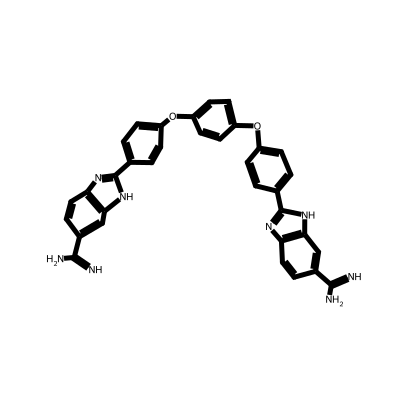 N=C(N)c1ccc2nc(-c3ccc(Oc4ccc(Oc5ccc(-c6nc7ccc(C(=N)N)cc7[nH]6)cc5)cc4)cc3)[nH]c2c1